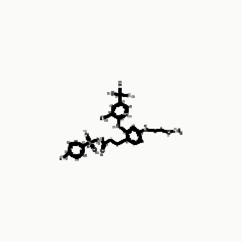 COCCOc1ccc(CCC(=O)NS(=O)(=O)c2ccc(Cl)cc2)c(Oc2ncc(C(F)(F)F)cc2Cl)c1